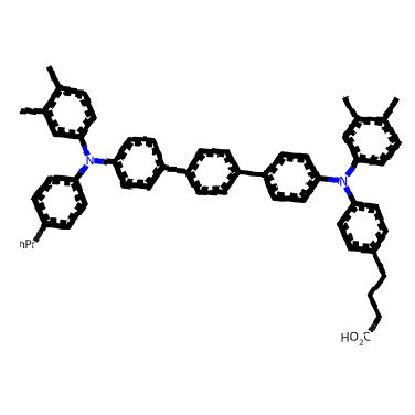 CCCc1ccc(N(c2ccc(-c3ccc(-c4ccc(N(c5ccc(CCCC(=O)O)cc5)c5ccc(C)c(C)c5)cc4)cc3)cc2)c2ccc(C)c(C)c2)cc1